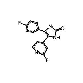 O=C1[N]C(c2ccc(F)cc2)=C(c2ccnc(F)c2)N1